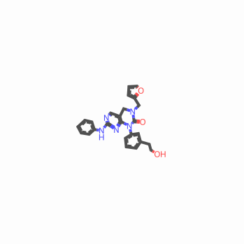 O=C1N(Cc2ccco2)Cc2cnc(Nc3ccccc3)nc2N1c1cccc(CCO)c1